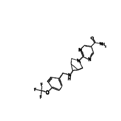 NC(=O)c1cnc(N2CC3C(C2)C3NCc2ccc(OC(F)(F)F)cc2)nc1